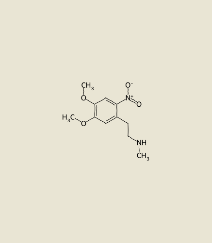 CNCCc1cc(OC)c(OC)cc1[N+](=O)[O-]